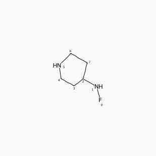 FNC1CCNCC1